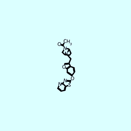 CC(=O)N1CC2CCC1CN2Cc1coc2cc(Oc3nc4ncccc4s3)ccc12